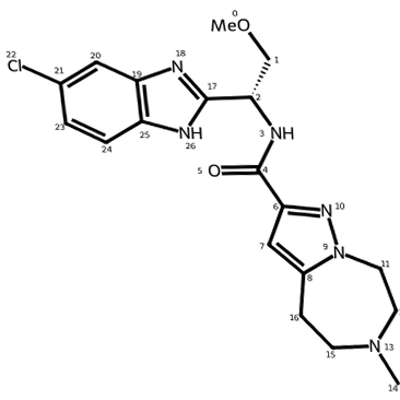 COC[C@H](NC(=O)c1cc2n(n1)CCN(C)CC2)c1nc2cc(Cl)ccc2[nH]1